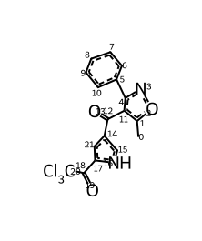 Cc1onc(-c2ccccc2)c1C(=O)c1c[nH]c(C(=O)C(Cl)(Cl)Cl)c1